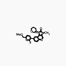 COCc1ccc(-c2ccc3ncc4c(c3c2)n([C@@H]2CCCOC2)c(=O)n4C)c(F)n1